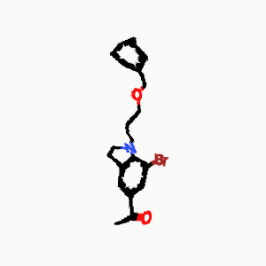 CC(=O)c1cc(Br)c2c(c1)CCN2CCCOCc1ccccc1